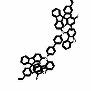 C=Cc1ccc(C2(c3c(F)c(F)cc(F)c3F)c3ccccc3-c3ccc(N(c4ccc(-c5ccc(N(c6ccc7c(c6)C(c6ccc(C=C)cc6)(c6c(F)c(F)cc(F)c6F)c6ccccc6-7)c6cccc7oc8ccccc8c67)cc5)cc4)c4cccc5oc6ccccc6c45)cc32)cc1